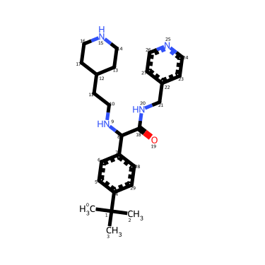 CC(C)(C)c1ccc(C(NCCC2CCNCC2)C(=O)NCc2ccncc2)cc1